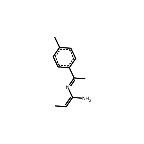 C/C=C(N)\N=C(/C)c1ccc(C)cc1